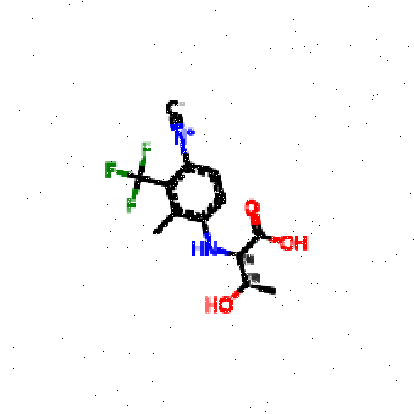 [C-]#[N+]c1ccc(N[C@@H](C(=O)O)[C@@H](C)O)c(C)c1C(F)(F)F